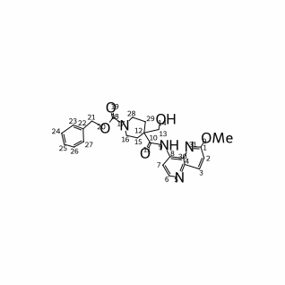 COc1ccc2nccc(NC(=O)C3(CO)CCN(C(=O)OCc4ccccc4)CC3)c2n1